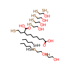 CCC[CH2][SnH].CCC[CH2][SnH].O=C(O)CCCCCCC(CCS)C(=O)O.OCCS.OCCS.OCCS.OCCS.OCCS.OCCS.S